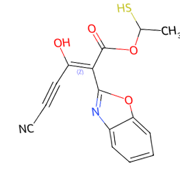 CC(S)OC(=O)/C(=C(\O)C#CC#N)c1nc2ccccc2o1